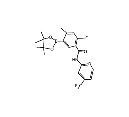 Cc1cc(F)c(C(=O)Nc2cc(C(F)(F)F)ccn2)cc1B1OC(C)(C)C(C)(C)O1